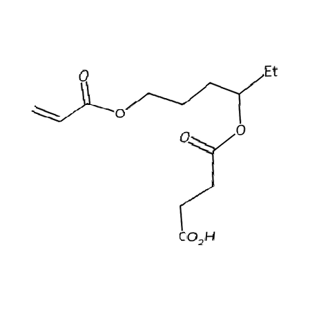 C=CC(=O)OCCCC(CC)OC(=O)CCC(=O)O